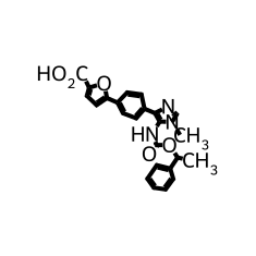 CC(OC(=O)Nc1c(-c2ccc(-c3ccc(C(=O)O)o3)cc2)ncn1C)c1ccccc1